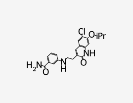 CC(C)Oc1cc2[nH]c(=O)c(CCNc3cccc(C(N)=O)c3)cc2cc1Cl